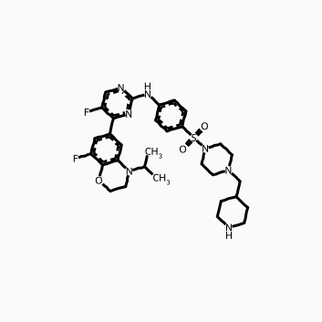 CC(C)N1CCOc2c(F)cc(-c3nc(Nc4ccc(S(=O)(=O)N5CCN(CC6CCNCC6)CC5)cc4)ncc3F)cc21